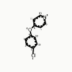 Clc1ccc(Oc2ccncc2)cc1